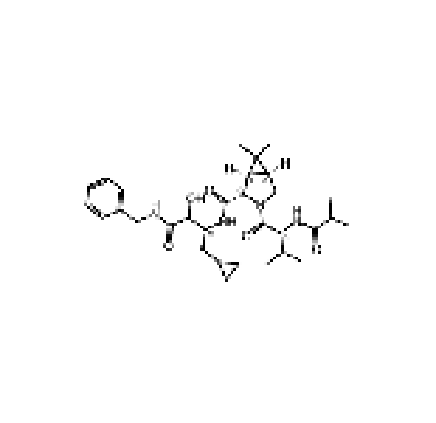 CC(C)C(=O)N[C@H](C(=O)N1C[C@H]2[C@@H]([C@H]1C(=O)N[C@@H](CC1CC1)C(O)C(=O)NCc1ccccc1)C2(C)C)C(C)C